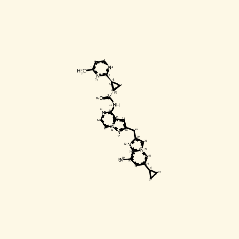 Cc1ccnc([C@H]2C[C@@H]2C(=O)Nc2nccn3nc(Cc4cn5cc(C6CC6)cc(Br)c5n4)cc23)n1